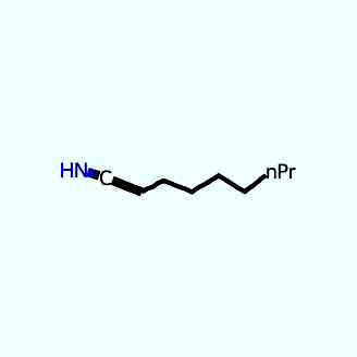 CCCCCCCC=C=N